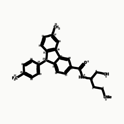 COCCC(CO)NC(=O)c1ccc2c(c1)c1cc(C)ccc1n2-c1ccc(C(F)(F)F)cc1